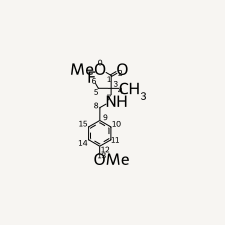 COC(=O)C(C)(CF)NCc1ccc(OC)cc1